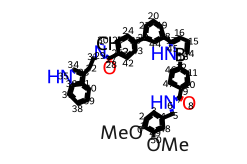 COc1ccc(CNC(=O)c2ccc(B3C=CC=C(c4cccc(-c5ccc(C(=O)N(C)CCc6c[nH]c7ccccc67)cc5)c4)N3)cc2)cc1OC